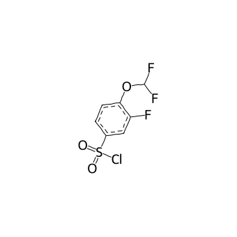 O=S(=O)(Cl)c1ccc(OC(F)F)c(F)c1